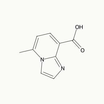 Cc1ccc(C(=O)O)c2nccn12